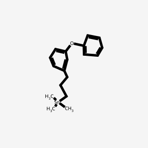 [CH3][Sn]([CH3])([CH3])[CH2]CCc1cccc(Oc2ccccc2)c1